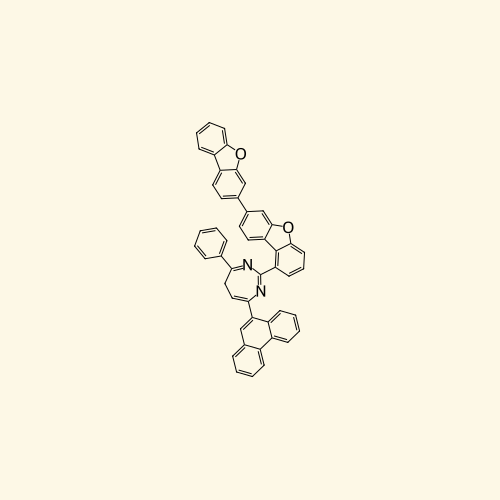 C1=C(c2cc3ccccc3c3ccccc23)N=C(c2cccc3oc4cc(-c5ccc6c(c5)oc5ccccc56)ccc4c23)N=C(c2ccccc2)C1